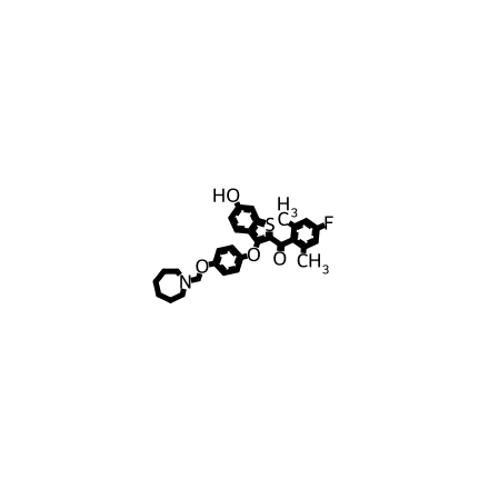 Cc1cc(F)cc(C)c1C(=O)c1sc2cc(O)ccc2c1Oc1ccc(OCN2CCCCCC2)cc1